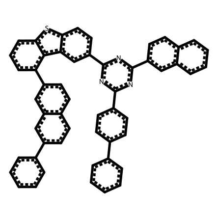 c1ccc(-c2ccc(-c3nc(-c4ccc5ccccc5c4)nc(-c4ccc5sc6cccc(-c7ccc8ccc(-c9ccccc9)cc8c7)c6c5c4)n3)cc2)cc1